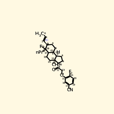 C/C=C/[C@H]1CC[C@H]2C3CC[C@H](C(=O)COc4cc(C#N)ccc4F)[C@@]3(C)CCC2[C@@]1(F)CCC